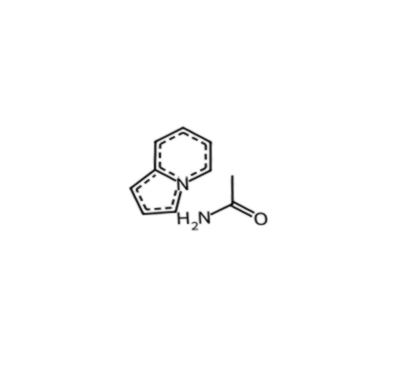 CC(N)=O.c1ccn2cccc2c1